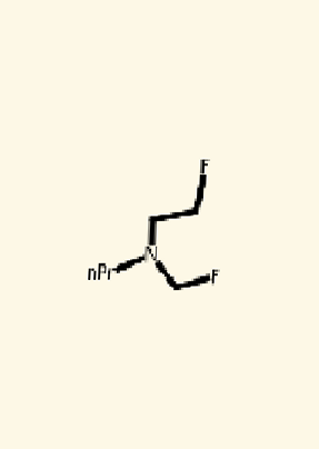 CCCN(CF)CCF